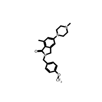 Cc1cc(N2CCN(C)CC2)cc2c1C(=O)N(Cc1ccc(OC(F)(F)F)cc1)C2